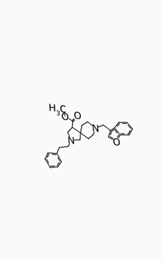 COC(=O)C1CN(CCc2ccccc2)CC12CCN(Cc1coc3ccccc13)CC2